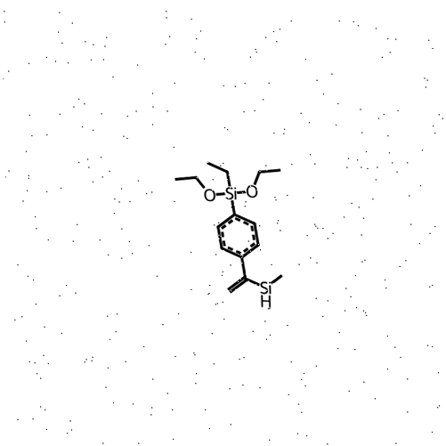 C=C(c1ccc([Si](CC)(OCC)OCC)cc1)[SiH](C)C